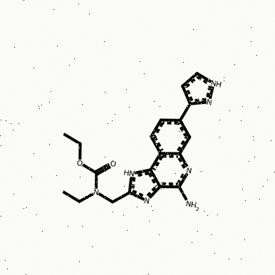 CCOC(=O)N(CC)Cc1nc2c(N)nc3cc(-c4cc[nH]n4)ccc3c2[nH]1